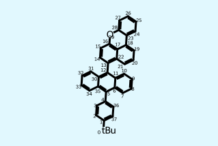 CC(C)(C)c1ccc(-c2c3ccccc3c(-c3ccc4c5c(cccc35)-c3ccccc3O4)c3ccccc23)cc1